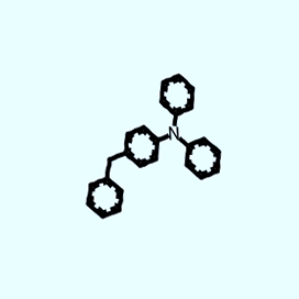 c1ccc(Cc2ccc(N(c3ccccc3)c3ccccc3)cc2)cc1